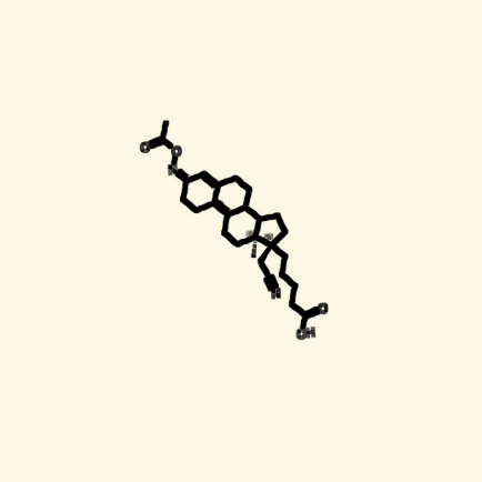 CC(=O)ON=C1C=C2CCC3C(=C2CC1)CC[C@@]1(C)C3CC[C@]1(CC#N)CCCCC(=O)O